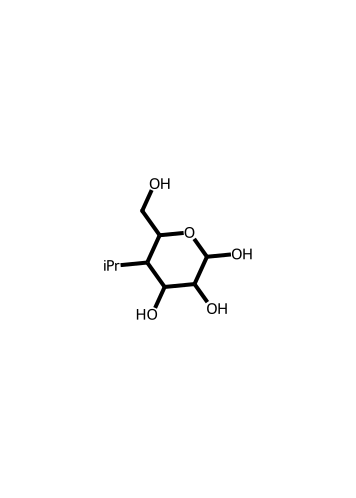 CC(C)C1C(CO)OC(O)C(O)C1O